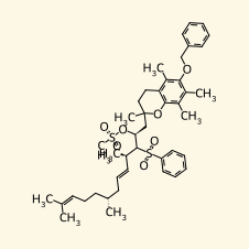 CC(C)=CCC[C@@H](C)C/C=C/[C@@H](C)C([C@H](CC1(C)CCc2c(C)c(OCc3ccccc3)c(C)c(C)c2O1)OS(C)(=O)=O)S(=O)(=O)c1ccccc1